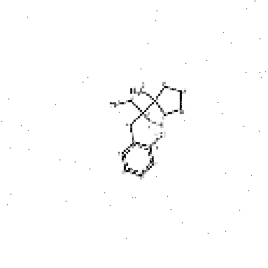 CC1(C(O)(CCl)Cc2ccccc2Cl)CCCC1